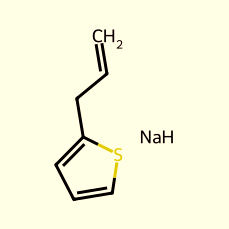 C=CCc1cccs1.[NaH]